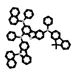 CC1(C)c2ccccc2-c2ccc(N(c3ccccc3)c3ccc4oc5c(N(c6ccccc6)c6ccc7c8ccccc8n(-c8cccc9ccccc89)c7c6)cc(N(c6ccccc6)c6cccc7ccccc67)cc5c4c3)cc21